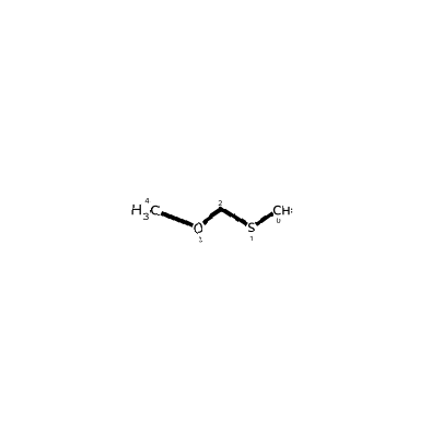 [CH]SCOC